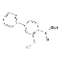 CC(=O)Sc1cc(-c2ccccc2)ccc1C(Cl)C(=O)O